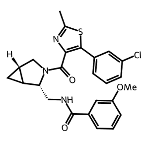 COc1cccc(C(=O)NC[C@@H]2C3C[C@@H]3CN2C(=O)c2nc(C)sc2-c2cccc(Cl)c2)c1